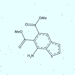 COC(=O)c1cc2ccsc2c(N)c1C(=O)OC